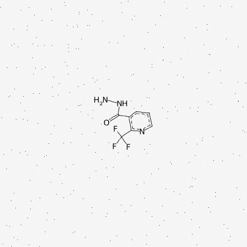 NNC(=O)c1cccnc1C(F)(F)F